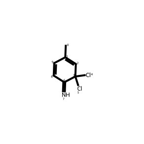 CC1=CC(Cl)(Cl)C(=N)C=C1